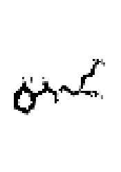 CN(CCN)CCNC(=O)c1ccccc1O